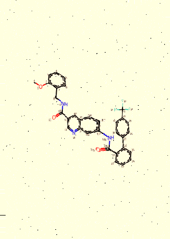 COc1ccccc1CNC(=O)c1cnc2cc(NC(=O)c3ccccc3-c3ccc(C(F)(F)F)cc3)ccc2c1